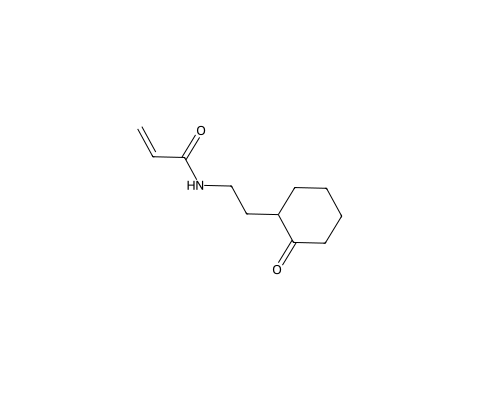 C=CC(=O)NCCC1CCCCC1=O